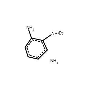 CCNc1ccccc1N.N